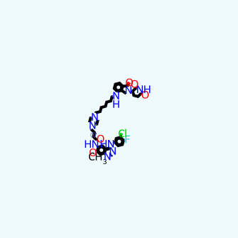 COc1cc2ncnc(Nc3ccc(F)c(Cl)c3)c2cc1NC(=O)/C=C/CN1CCN(CCCCCCCNc2cccc3c2CN(C2CCC(=O)NC2=O)C3=O)CC1